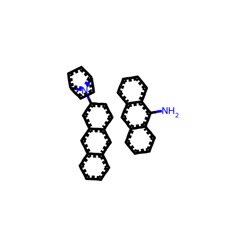 Nc1c2ccccc2cc2ccccc12.c1ccc2cc3cc(-n4c5ccc4cc5)ccc3cc2c1